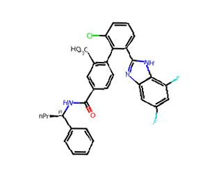 CCC[C@@H](NC(=O)c1ccc(-c2c(Cl)cccc2-c2nc3cc(F)cc(F)c3[nH]2)c(C(=O)O)c1)c1ccccc1